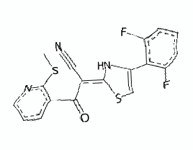 CSc1ncccc1C(=O)C(C#N)=C1NC(c2c(F)cccc2F)=CS1